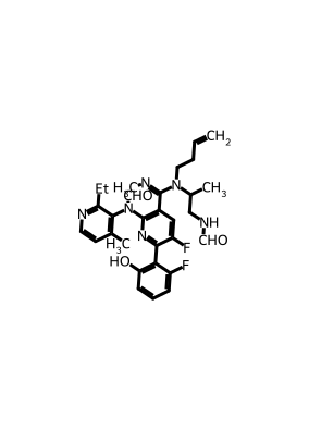 C=CCCN(/C(=N/C)c1cc(F)c(-c2c(O)cccc2F)nc1N(C=O)c1c(C)ccnc1CC)C(C)CNC=O